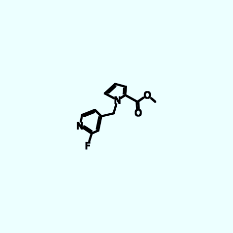 COC(=O)c1cccn1Cc1ccnc(F)c1